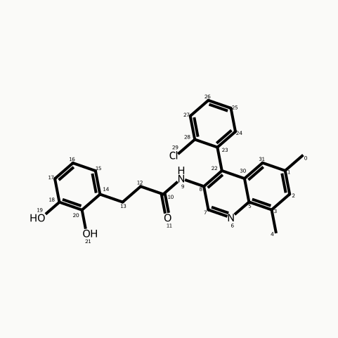 Cc1cc(C)c2ncc(NC(=O)CCc3cccc(O)c3O)c(-c3ccccc3Cl)c2c1